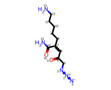 [N-]=[N+]=NCC(=O)C=C(CCCCCN)C(N)=O